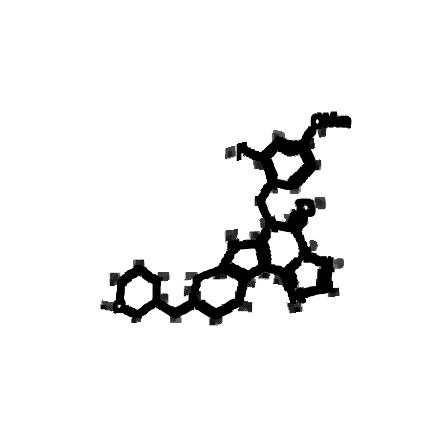 COc1ccc(Cn2c(=O)n3ncnc3c3c4c(sc32)CN(CC2CCCOC2)CC4)c(F)c1